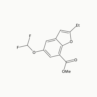 CCc1cc2cc(OC(F)F)cc(C(=O)OC)c2o1